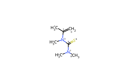 C=C(C)N(C)C(=S)N(C)C